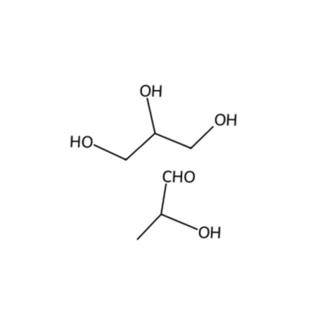 CC(O)C=O.OCC(O)CO